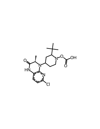 C[C@@H]1C(=O)Nc2ccc(Cl)nc2N1C1CCN(OC(=O)O)C(C(C)(C)C)C1